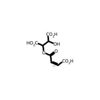 O=C(O)/C=C\C(=O)OC(C(=O)O)C(O)C(=O)O